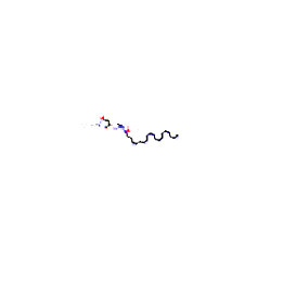 CC/C=C\C/C=C\C/C=C\C/C=C\C/C=C\C/C=C\CCC(=O)N[C@H](CSC1CC(=O)N(NC)C1=O)C(=O)O